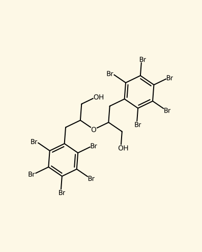 OCC(Cc1c(Br)c(Br)c(Br)c(Br)c1Br)OC(CO)Cc1c(Br)c(Br)c(Br)c(Br)c1Br